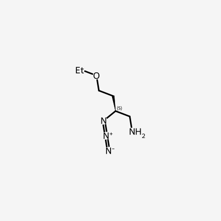 CCOCC[C@@H](CN)N=[N+]=[N-]